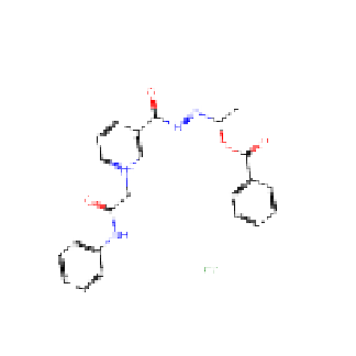 CC(N=NC(=O)c1ccc[n+](CC(=O)Nc2ccccc2)c1)OC(=O)c1ccccc1.[Cl-]